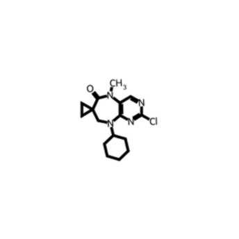 CN1C(=O)C2(CC2)CN(C2CCCCC2)c2nc(Cl)ncc21